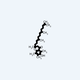 CC(C)=CCC/C(C)=C/CC/C(C)=C/CCC1(C)CC(=O)c2c(C)c(O)c(C)c(C)c2O1